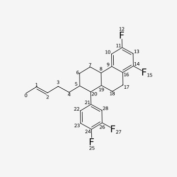 CC=CCCC1CCC2c3cc(F)cc(F)c3CCC2C1c1ccc(F)c(F)c1